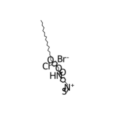 CCCCCCCCCCCCCCCCOc1ccc(OCC(=O)Nc2ccc(C[n+]3ccsc3)cc2)cc1Cl.[Br-]